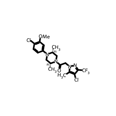 COc1cc(N2C[C@@H](C)N(C(=O)Cn3nc(C(F)(F)F)c(Cl)c3C)C[C@H]2C)ccc1Cl